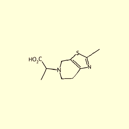 Cc1nc2c(s1)CN(C(C)C(=O)O)CC2